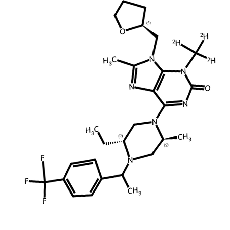 [2H]C([2H])([2H])n1c(=O)nc(N2C[C@@H](CC)N(C(C)c3ccc(C(F)(F)F)cc3)C[C@@H]2C)c2nc(C)n(C[C@@H]3CCCO3)c21